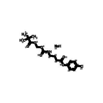 CC(C)(C)C(=O)OCOC(=O)NCCCC(=O)Oc1ccc(Cl)cc1.[NaH]